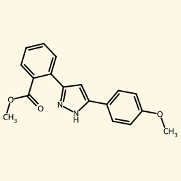 COC(=O)c1ccccc1-c1cc(-c2ccc(OC)cc2)[nH]n1